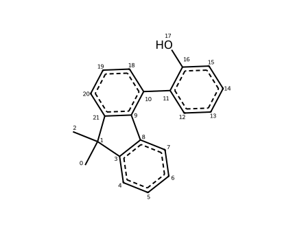 CC1(C)c2ccccc2-c2c(-c3ccccc3O)cccc21